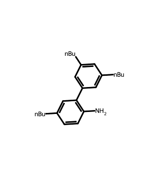 CCCCc1cc(CCCC)cc(-c2cc(CCCC)ccc2N)c1